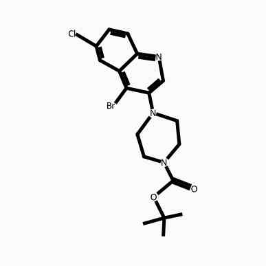 CC(C)(C)OC(=O)N1CCN(c2cnc3ccc(Cl)cc3c2Br)CC1